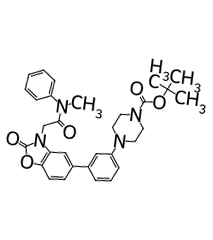 CN(C(=O)Cn1c(=O)oc2ccc(-c3cccc(N4CCN(C(=O)OC(C)(C)C)CC4)c3)cc21)c1ccccc1